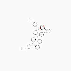 CC(C)(C)c1ccc(N(c2ccccc2)c2ccc3c(c2)C2(c4ccccc4-c4cc5c6ccccc6c6ccccc6c5cc42)c2cc(N(c4ccccc4)c4ccc(C(C)(C)C)cc4)ccc2-3)cc1